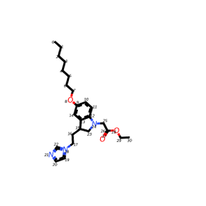 CCCCCCCCOc1ccc2c(c1)C(CCn1ccnc1)CN2CC(=O)OCC